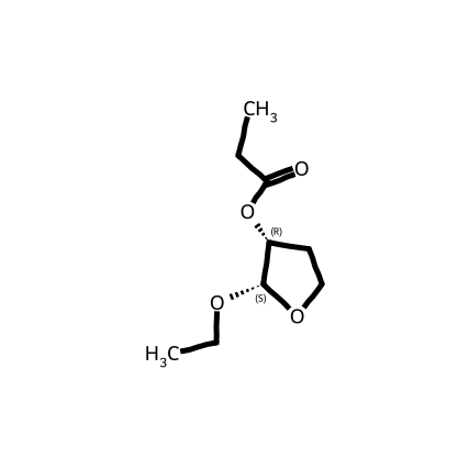 CCO[C@H]1OCC[C@H]1OC(=O)CC